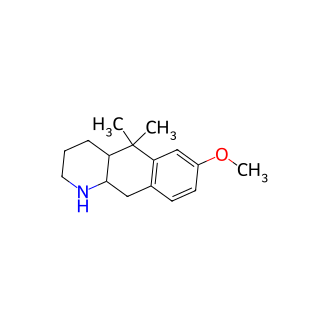 COc1ccc2c(c1)C(C)(C)C1CCCNC1C2